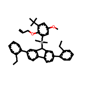 C=CCOc1c(C(C)(C)C)cc(OC)cc1[Si](C)(C)C1c2cc(-c3ccccc3CC)ccc2-c2ccc(-c3ccccc3CC)cc21